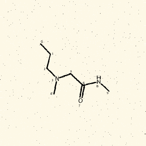 CCCN(C)CC(=O)NC